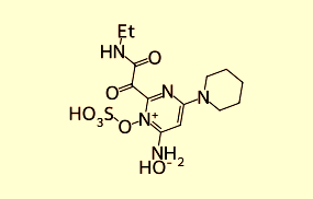 CCNC(=O)C(=O)c1nc(N2CCCCC2)cc(N)[n+]1OS(=O)(=O)O.[OH-]